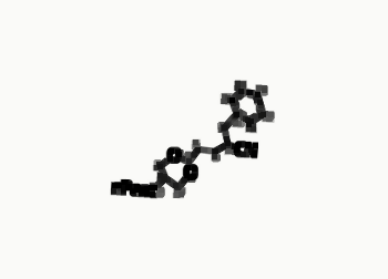 CCCCCC1COC(CCC(C#N)Cc2ccccc2)OC1